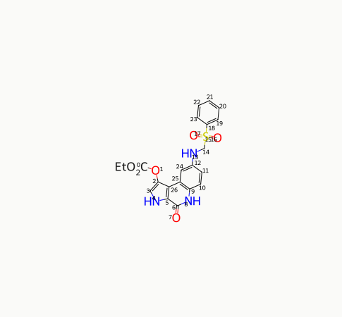 CCOC(=O)Oc1c[nH]c2c(=O)[nH]c3ccc(NCS(=O)(=O)c4ccccc4)cc3c12